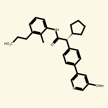 COc1cncc(-c2ccc([C@H](C(=O)Nc3cccc(CCC(=O)O)c3C)C3CCCC3)cc2)c1